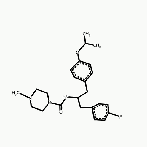 CC(C)Oc1ccc(CC(Cc2ccc(F)cc2)NC(=O)N2CCN(C)CC2)cc1